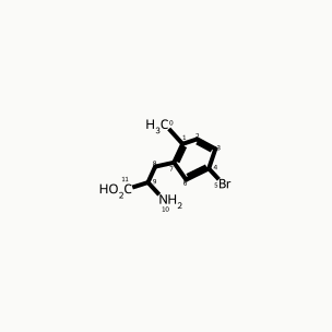 Cc1ccc(Br)cc1CC(N)C(=O)O